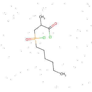 CCCCCCP(=O)(Cl)CC(C)C(=O)Cl